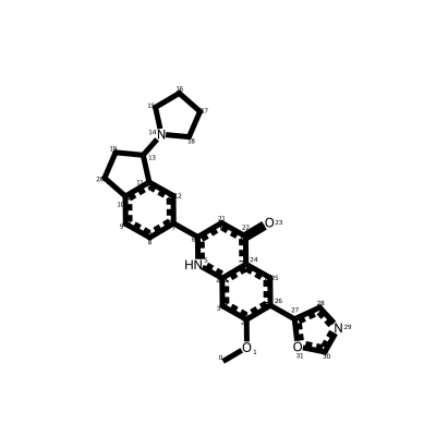 COc1cc2[nH]c(-c3ccc4c(c3)C(N3CCCC3)CC4)cc(=O)c2cc1-c1cnco1